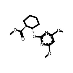 COC(=O)[C@H]1CCCC[C@@H]1Oc1nc(OC)cc(OC)n1